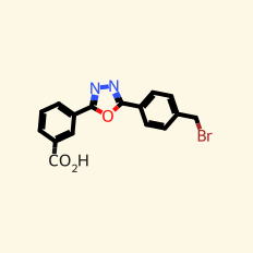 O=C(O)c1cccc(-c2nnc(-c3ccc(CBr)cc3)o2)c1